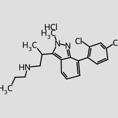 CCCNCC(C)c1c2cccc(-c3ccc(Cl)cc3Cl)c2nn1C.Cl